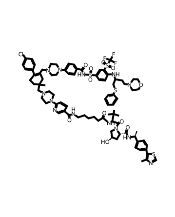 Cc1ncsc1-c1ccc([C@H](C)NC(=O)[C@@H]2C[C@@H](O)CN2C(=O)C(NC(=O)CCCCCNC(=O)c2ccc(N3CCN(CC4(C)CCC(c5ccc(Cl)cc5)=C(CN5CCN(c6ccc(C(=O)NS(=O)(=O)c7ccc(NC(CCN8CCOCC8)CSc8ccccc8)c(S(=O)(=O)C(F)(F)F)c7)cc6)CC5)C4)CC3)nc2)C(C)(C)C)cc1